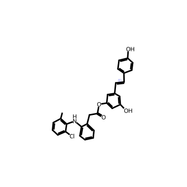 Cc1cccc(Cl)c1Nc1ccccc1CC(=O)Oc1cc(O)cc(/C=C/c2ccc(O)cc2)c1